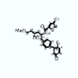 CCc1cc(C(=O)N[C@H](Cc2ccc(-c3cc(Cl)ccc3F)cc2)C[C@@H](CCOC)C(=O)O)on1